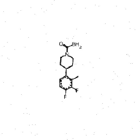 BC(=O)N1CCC(c2ccc(F)c(F)c2C)CC1